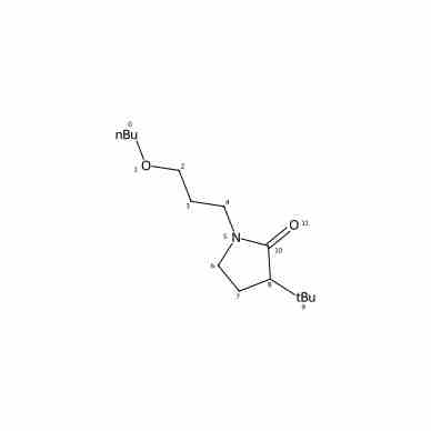 CCCCOCCCN1CCC(C(C)(C)C)C1=O